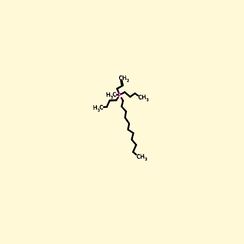 C=CCP(C)(CCCC)(CCCC)CCCCCCCCCCC